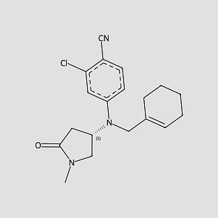 CN1C[C@@H](N(CC2=CCCCC2)c2ccc(C#N)c(Cl)c2)CC1=O